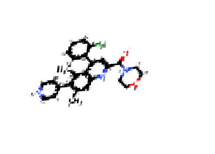 Cc1cc2nc(C(=O)N3CCOCC3)cc(-c3ccccc3Cl)c2c(C)c1-c1ccncc1